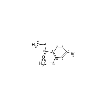 CCC(=O)c1ccc(Br)cc1CC